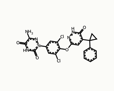 Nc1nn(-c2cc(Cl)c(Oc3cc(C4(c5ccccc5)CC4)c(=O)[nH]n3)c(Cl)c2)c(=O)[nH]c1=O